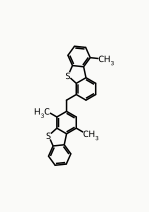 Cc1c(Cc2cccc3c2sc2cccc(C)c23)cc(C)c2c1sc1ccccc12